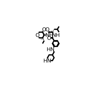 CC[C@@H]1COCC(=O)[C@H]1NC(=O)[C@H](CC(C)C)NC(=O)c1cccc(NCC2CCNCC2)c1